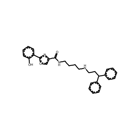 O=C(NCCCCNCCC(c1ccccc1)c1ccccc1)c1coc(-c2ccccc2O)n1